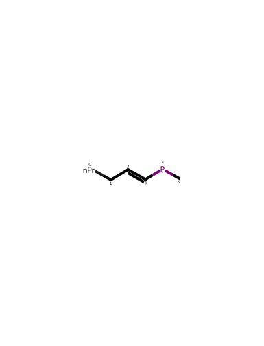 CCCC/C=C/[P]C